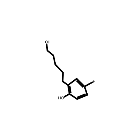 OCCCCCc1cc(F)ccc1O